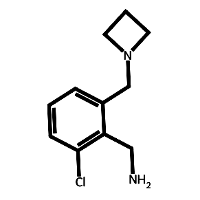 NCc1c(Cl)cccc1CN1CCC1